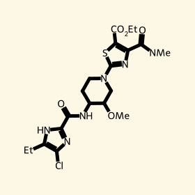 CCOC(=O)c1sc(N2CCC(NC(=O)c3nc(Cl)c(CC)[nH]3)C(OC)C2)nc1C(=O)NC